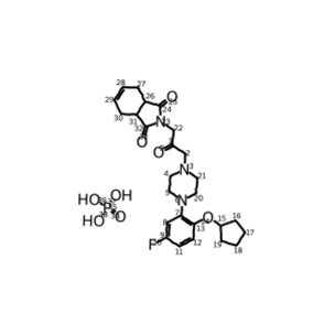 O=C(CN1CCN(c2cc(F)ccc2OC2CCCC2)CC1)CN1C(=O)C2CC=CCC2C1=O.O=P(O)(O)O